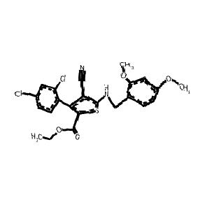 CCOC(=O)c1sc(NCc2ccc(OC)cc2OC)c(C#N)c1-c1ccc(Cl)cc1Cl